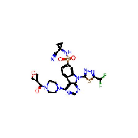 N#CC1(NS(=O)(=O)c2ccc3c4c(N5CCN(C(=O)C6COC6)CC5)ncnc4n(-c4nnc(C(F)F)s4)c3c2)CC1